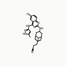 Cc1cc(Nc2nc(NC3CC4CC(CCC#N)CC(C3)N4)nc3ccc(Cl)cc23)n[nH]1